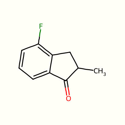 CC1Cc2c(F)cccc2C1=O